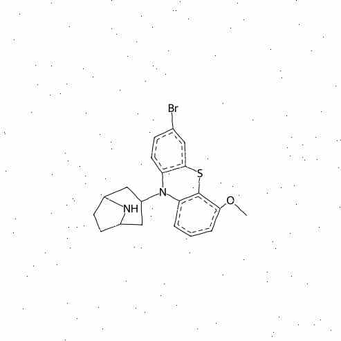 COc1cccc2c1Sc1cc(Br)ccc1N2C1CC2CCC(C1)N2